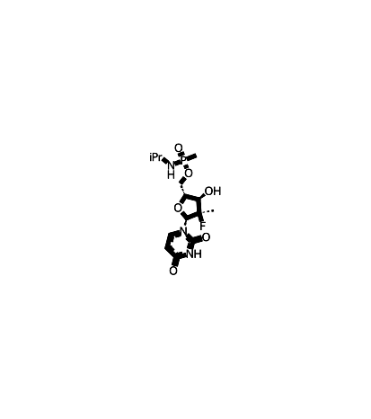 CC(C)NP(C)(=O)OC[C@H]1O[C@@H](n2ccc(=O)[nH]c2=O)[C@](C)(F)[C@@H]1O